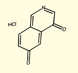 Cl.O=C1C=CC2=CN=CC(=O)C2=C1